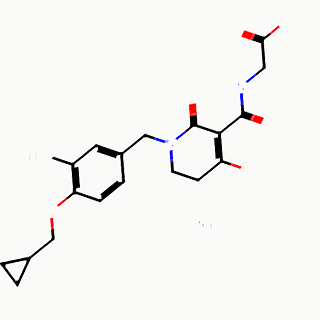 Cc1cc(CN2CCC(O)=C(C(=O)NCC(=O)[O-])C2=O)ccc1OCC1CC1.[Na+]